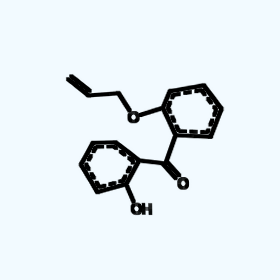 C=CCOc1ccccc1C(=O)c1ccccc1O